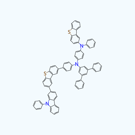 c1ccc(-c2cc(-c3ccccc3)cc(N(c3ccc(-c4ccc5sc6ccc(-c7ccc8c9ccccc9n(-c9ccccc9)c8c7)cc6c5c4)cc3)c3ccc(N(c4ccccc4)c4ccc5sc6ccccc6c5c4)cc3)c2)cc1